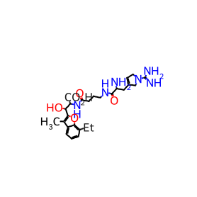 CCc1cccc2c(C)c(C(O)C(NC(=O)CCCNC(=O)C(N)CC3=CCN(C(=N)N)C3)C(=O)O)oc12